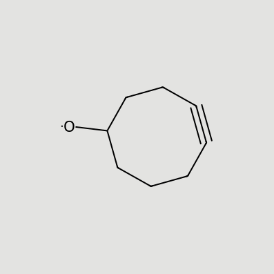 [O]C1CCC#CCCC1